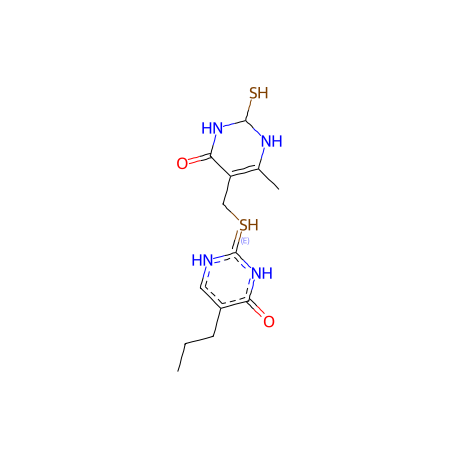 CCCc1c[nH]/c(=[SH]\CC2=C(C)NC(S)NC2=O)[nH]c1=O